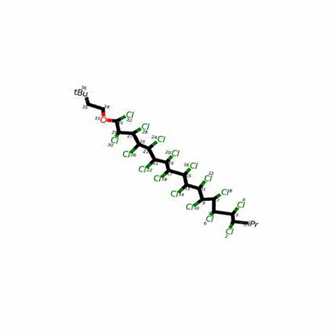 CC(C)C(Cl)C(Cl)C(Cl)C(Cl)C(Cl)C(Cl)C(Cl)C(Cl)C(Cl)C(Cl)C(Cl)C(Cl)C(Cl)C(Cl)C(Cl)C(Cl)OCCC(C)(C)C